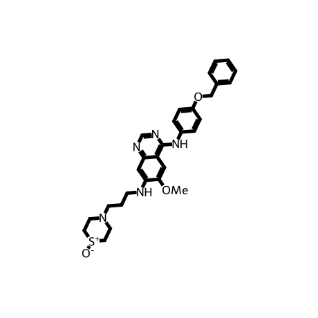 COc1cc2c(Nc3ccc(OCc4ccccc4)cc3)ncnc2cc1NCCCN1CC[S+]([O-])CC1